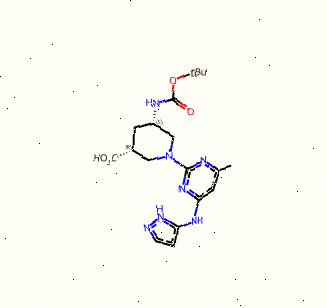 Cc1cc(Nc2ccn[nH]2)nc(N2C[C@@H](NC(=O)OC(C)(C)C)C[C@@H](C(=O)O)C2)n1